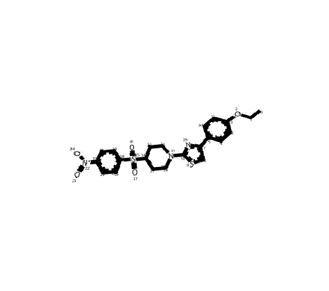 CCOc1ccc(-c2csc(N3CCC(S(=O)(=O)c4ccc([N+](=O)[O-])cc4)CC3)n2)cc1